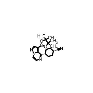 CC1(C)OB(c2cnn3ccnc([C@H]4CC[C@@H](C#N)CC4)c23)OC1(C)C